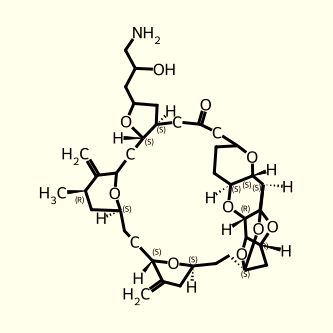 C=C1C2C[C@@H]3OC(CC(O)CN)C[C@H]3CC(=O)CC3CC[C@@H]4O[C@@H]5C6O[C@@H]7C[C@@](CC[C@H]8CC(=C)[C@H](CC[C@@H](C[C@H]1C)O2)O8)(OC57)O[C@H]6[C@H]4O3